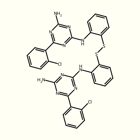 Nc1nc(Nc2ccccc2SSc2ccccc2Nc2nc(N)nc(-c3ccccc3Cl)n2)nc(-c2ccccc2Cl)n1